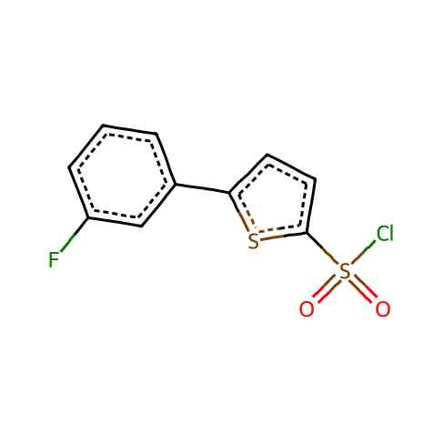 O=S(=O)(Cl)c1ccc(-c2cccc(F)c2)s1